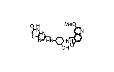 COc1cnc2ccc(Cl)c(CN[C@H]3CC[C@H](NCc4cnc5c(n4)NC(=O)CO5)C[C@H]3O)c2c1